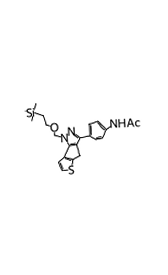 CC(=O)Nc1ccc(-c2nn(COCC[Si](C)(C)C)c3c2Cc2sccc2-3)cc1